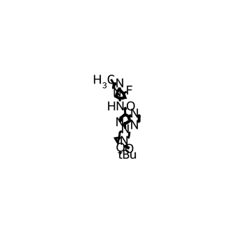 Cc1cn2cc(NC(=O)c3cnc(N4CCN(C(=O)OC(C)(C)C)C5(CC5)C4)c4nccnc34)cc(F)c2n1